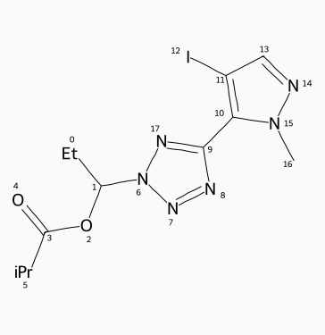 CCC(OC(=O)C(C)C)n1nnc(-c2c(I)cnn2C)n1